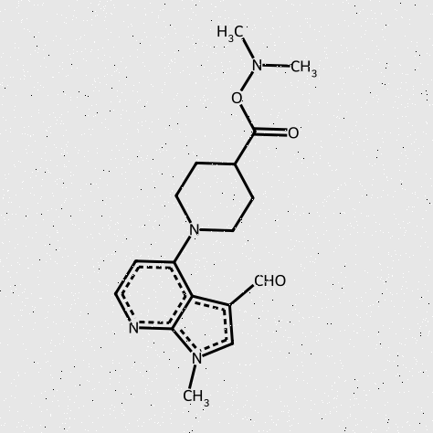 CN(C)OC(=O)C1CCN(c2ccnc3c2c(C=O)cn3C)CC1